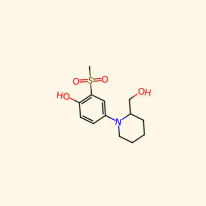 CS(=O)(=O)c1cc(N2CCCCC2CO)ccc1O